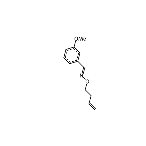 C=CCCON=[C]c1cccc(OC)c1